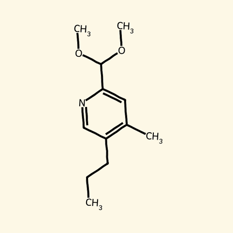 CCCc1cnc(C(OC)OC)cc1C